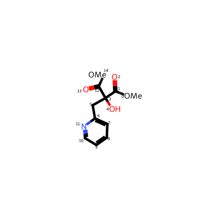 COC(=O)C(O)(Cc1ccccn1)C(=O)OC